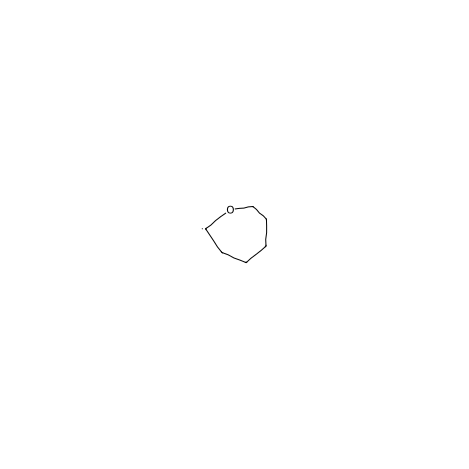 [CH]1CCCCCO1